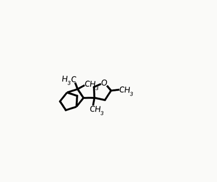 CC1CC(C)(C2C3CCC(C3)C2(C)C)CO1